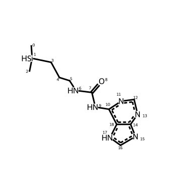 C[SiH](C)CCCNC(=O)Nc1ncnc2nc[nH]c12